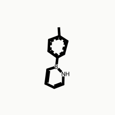 Cc1ccc(B2C=CC=CN2)cc1